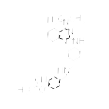 CC(C)Oc1ccc(CNC[C@H]2CC[C@@H](Nc3nc4c(c(N(C)C)n3)CCCC4)CC2)cc1